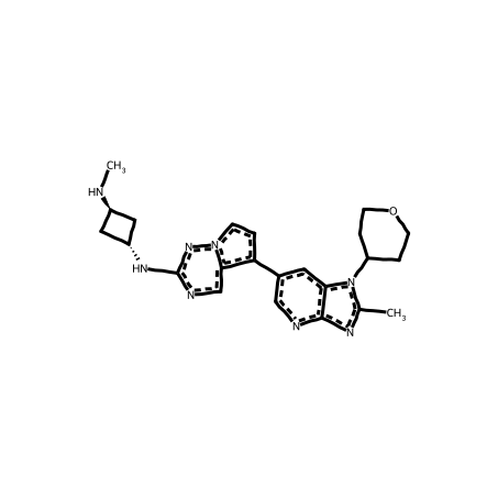 CN[C@H]1C[C@H](Nc2ncc3c(-c4cnc5nc(C)n(C6CCOCC6)c5c4)ccn3n2)C1